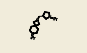 CC(C)N1CCC2(CC1)CN(C[C@@H]1CCN(C(C)C)C1)C2